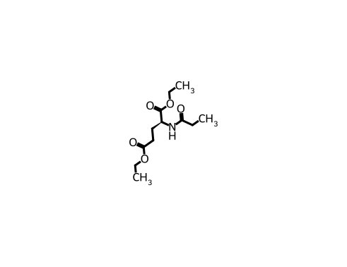 CCOC(=O)CC[C@H](NC(=O)CC)C(=O)OCC